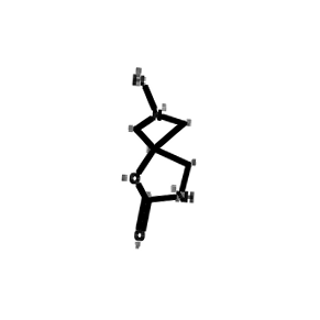 CCN1CC2(CNC(=O)O2)C1